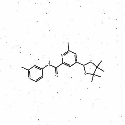 Cc1cc(NC(=O)c2cc(B3OC(C)(C)C(C)(C)O3)cc(C)n2)ccn1